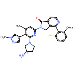 COc1cccc(F)c1-c1nccc2c1CN(c1cc(C)c(-c3cnn(C)c3)c(N3CC[C@@H](N)C3)n1)C2=O